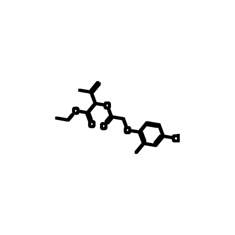 C=C(C)C(OC(=O)COc1ccc(Cl)cc1C)C(=O)OCC